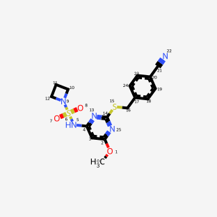 COc1cc(NS(=O)(=O)N2CCC2)nc(SCc2ccc(C#N)cc2)n1